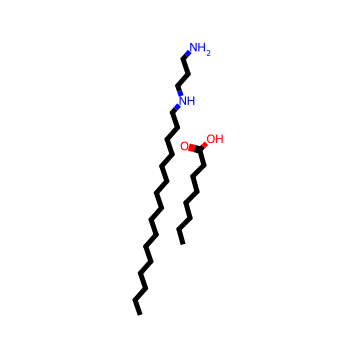 CCCCCCCC(=O)O.CCCCCCCCCCCCCCCCNCCCN